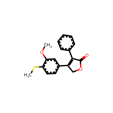 COc1cc(C2=C(c3ccccc3)C(=O)OC2)ccc1SC